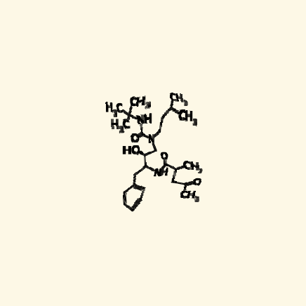 CC(=O)CC(C)C(=O)NC(Cc1ccccc1)[C@@H](O)CN(CCC(C)C)C(=O)NC(C)(C)C